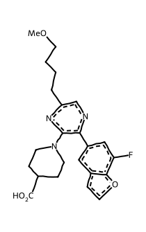 COCCCCc1cnc(-c2cc(F)c3occc3c2)c(N2CCC(C(=O)O)CC2)n1